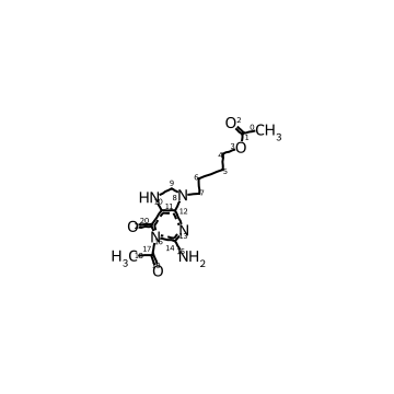 CC(=O)OCCCCN1CNc2c1nc(N)n(C(C)=O)c2=O